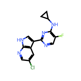 Fc1cnc(-c2c[nH]c3ncc(Cl)cc23)nc1NC1CC1